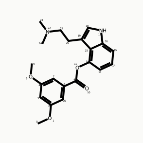 COc1cc(OC)cc(C(=O)Oc2cccc3[nH]cc(CCN(C)C)c23)c1